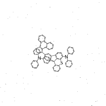 c1ccc(N(c2ccccc2)c2ccc(C34c5ccccc5Sc5c(N(c6ccccc6)c6ccccc6)ccc(c53)-c3cc(-c5cccc6c7ccccc7c7ccccc7c56)ccc34)cc2)cc1